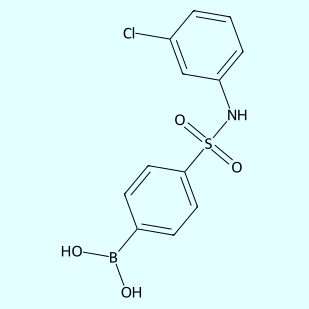 O=S(=O)(Nc1cccc(Cl)c1)c1ccc(B(O)O)cc1